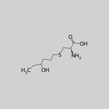 CCC(O)CCCSC[C@H](N)C(=O)O